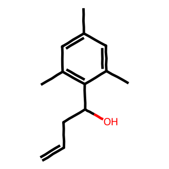 C=CCC(O)c1c(C)cc(C)cc1C